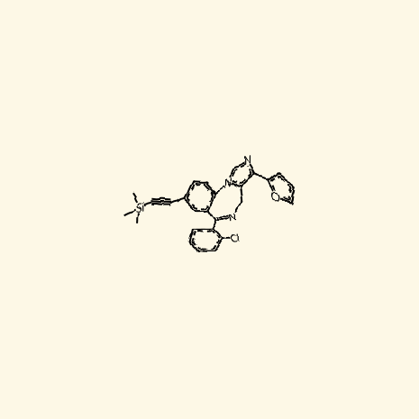 C[Si](C)(C)C#Cc1ccc2c(c1)C(c1ccccc1Cl)=NCc1c(-c3ccco3)ncn1-2